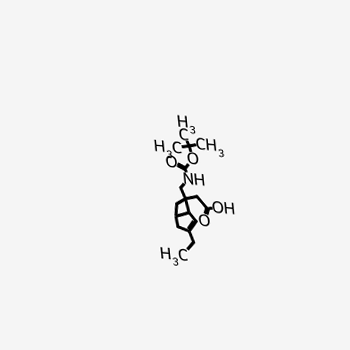 CCC1=CC2C(C1)CC2(CNC(=O)OC(C)(C)C)CC(=O)O